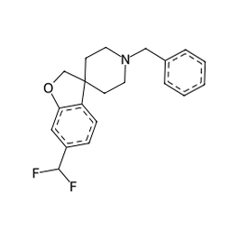 FC(F)c1ccc2c(c1)OCC21CCN(Cc2ccccc2)CC1